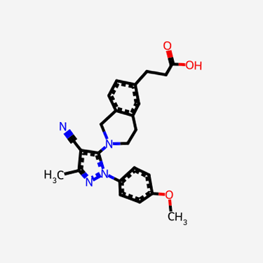 COc1ccc(-n2nc(C)c(C#N)c2N2CCc3cc(CCC(=O)O)ccc3C2)cc1